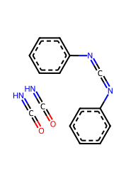 C(=Nc1ccccc1)=Nc1ccccc1.N=C=O.N=C=O